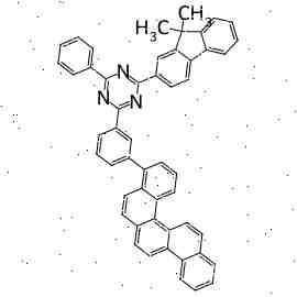 CC1(C)c2ccccc2-c2ccc(-c3nc(-c4ccccc4)nc(-c4cccc(-c5cccc6c5ccc5ccc7c8ccccc8ccc7c56)c4)n3)cc21